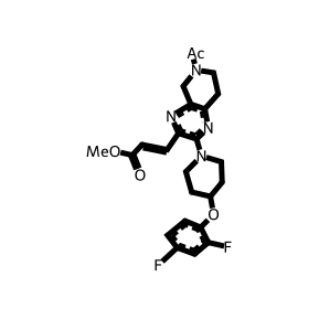 COC(=O)C=Cc1nc2c(nc1N1CCC(Oc3ccc(F)cc3F)CC1)CCN(C(C)=O)C2